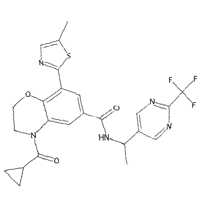 Cc1cnc(-c2cc(C(=O)NC(C)c3cnc(C(F)(F)F)nc3)cc3c2OCCN3C(=O)C2CC2)s1